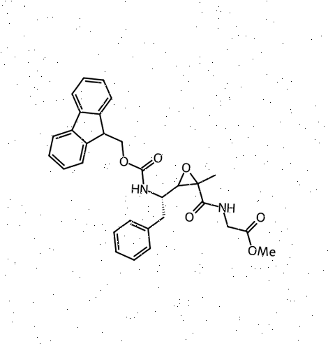 COC(=O)CNC(=O)C1(C)OC1[C@H](Cc1ccccc1)NC(=O)OCC1c2ccccc2-c2ccccc21